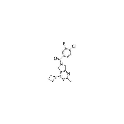 Cc1nc2c(c(N3CCC3)n1)CN(C(=O)c1ccc(Cl)c(F)c1)C2